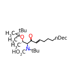 CCCCCCCCCCCCCC=CC(=O)[C@H]([C@H](C)O[Si](C)(C)C(C)(C)C)N(C(=O)O)C(C)(C)C